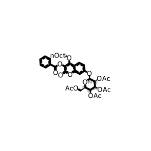 CCCCCCCCOc1c(OC(=O)c2ccccc2)c(=O)oc2cc(O[C@@H]3O[C@H](COC(C)=O)[C@H](OC(C)=O)[C@H](OC(C)=O)[C@H]3OC(C)=O)ccc12